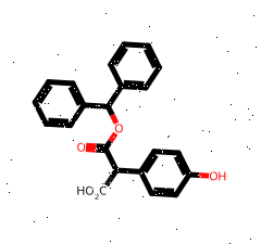 O=C(O)C(C(=O)OC(c1ccccc1)c1ccccc1)c1ccc(O)cc1